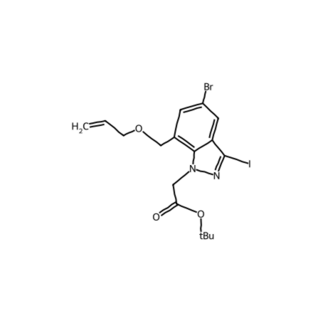 C=CCOCc1cc(Br)cc2c(I)nn(CC(=O)OC(C)(C)C)c12